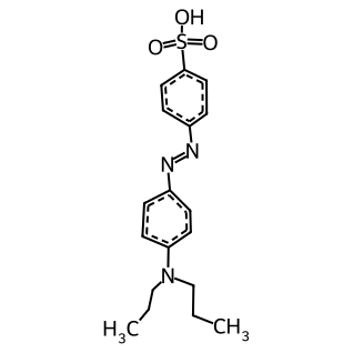 CCCN(CCC)c1ccc(N=Nc2ccc(S(=O)(=O)O)cc2)cc1